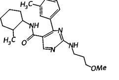 COCCCNc1ncc(C(=O)NC2CCCCC2C)c(-c2cccc(C)c2)n1